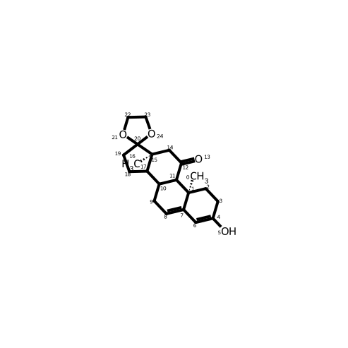 C[C@]12CCC(O)=CC1=CCC1C2C(=O)C[C@@]2(C)C1CCC21OCCO1